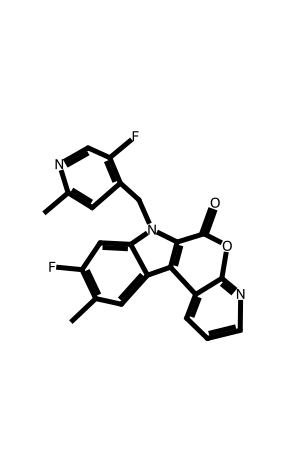 Cc1cc(Cn2c3cc(F)c(C)cc3c3c4cccnc4oc(=O)c32)c(F)cn1